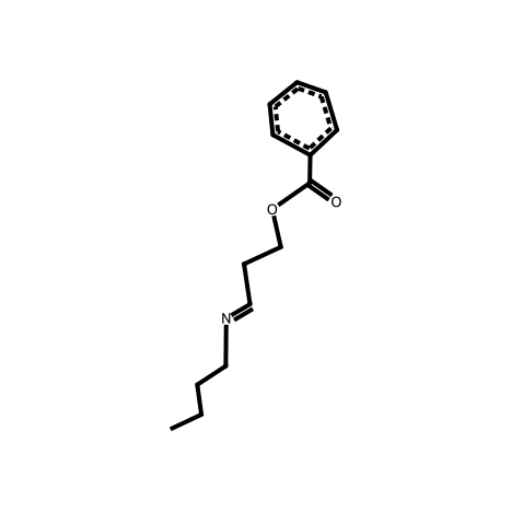 CCCCN=CCCOC(=O)c1ccccc1